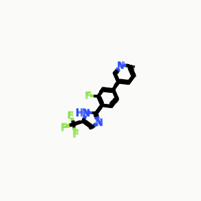 Fc1cc(-c2cc[c]nc2)ccc1-c1ncc(C(F)(F)F)[nH]1